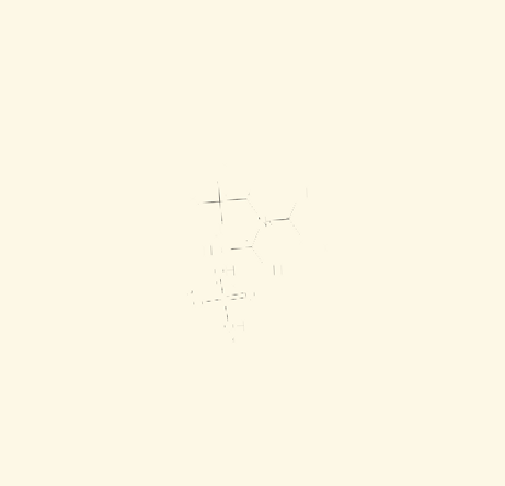 CC(C)N(CC(F)(F)F)C(C)C.O=P(O)(O)O